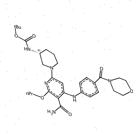 CCCOc1nc(N2CCC[C@@H](NC(=O)OC(C)(C)C)C2)cc(Nc2ccc(C(=O)N3CCOCC3)cc2)c1C(N)=O